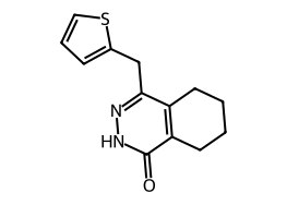 O=c1[nH]nc(Cc2cccs2)c2c1CCCC2